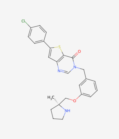 C[C@@]1(COc2cccc(Cn3cnc4cc(-c5ccc(Cl)cc5)sc4c3=O)c2)CCCN1